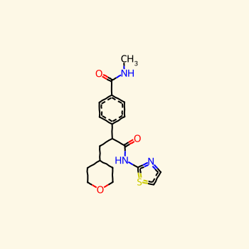 CNC(=O)c1ccc(C(CC2CCOCC2)C(=O)Nc2nccs2)cc1